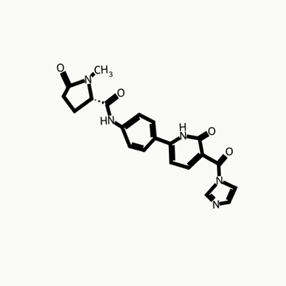 CN1C(=O)CC[C@H]1C(=O)Nc1ccc(-c2ccc(C(=O)n3ccnc3)c(=O)[nH]2)cc1